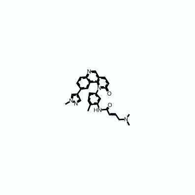 Cc1ccc(-n2c(=O)ccc3cnc4ccc(-c5cnn(C)c5)cc4c32)cc1NC(=O)/C=C/CN(C)C